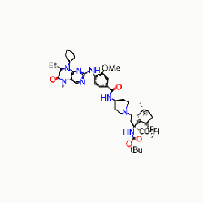 CC[C@@H]1C(=O)N(C)c2cnc(Nc3ccc(C(=O)NC4CCN(CC[C@@](NC(=O)OC(C)(C)C)(C(=O)O)[C@@H]5C[C@H](C)CC[C@H]5C(C)C)CC4)cc3OC)nc2N1C1CCCC1